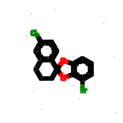 Clc1ccc2c(c1)CCCC21Oc2cccc(Br)c2O1